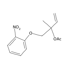 C=CC(C)(COc1ccccc1[N+](=O)[O-])OC(C)=O